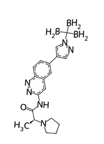 BC(B)(B)n1cc(-c2ccc3nnc(NC(=O)[C@H](C)N4CCCC4)cc3c2)cn1